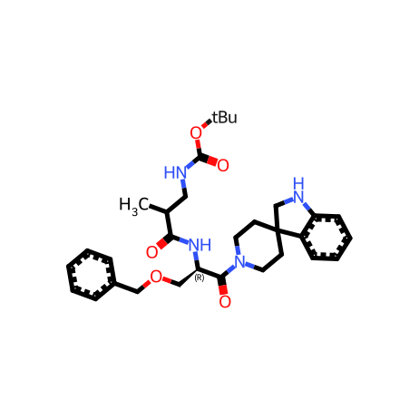 CC(CNC(=O)OC(C)(C)C)C(=O)N[C@H](COCc1ccccc1)C(=O)N1CCC2(CC1)CNc1ccccc12